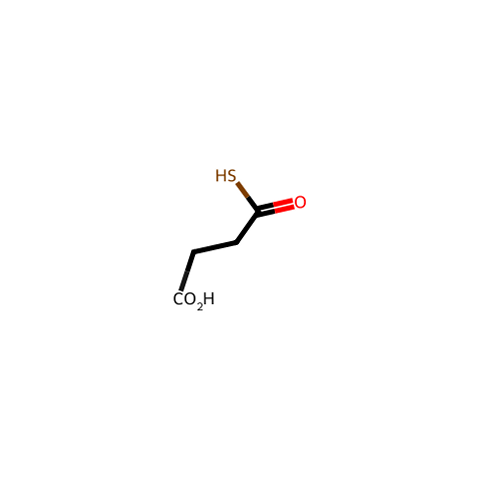 O=C(O)CCC(=O)S